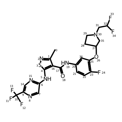 Cc1nsc(Nc2cnc(C(F)(F)F)cn2)c1C(=O)Nc1ccc(F)c(OC2CCN(CC(F)F)C2)c1